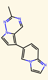 Cc1ncc2c(-c3ccc4nccn4c3)ccn2n1